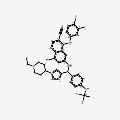 CCN1CCC(n2cc(C(Nc3cc(Cl)c4ncc(C#N)c(Nc5ccc(F)c(Cl)c5)c4c3)c3ccc(OC(F)(F)F)cc3)nn2)CC1